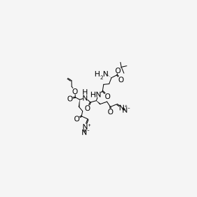 C=CCOC(=O)[C@H](CCC(=O)C=[N+]=[N-])NC(=O)[C@H](CCC(=O)C=[N+]=[N-])NC(=O)CC[C@H](N)C(=O)OC(C)(C)C